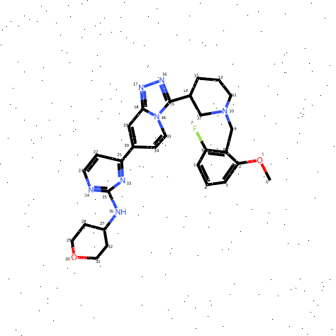 COc1cccc(F)c1CN1CCCC(c2nnc3cc(-c4ccnc(NC5CCOCC5)n4)ccn23)C1